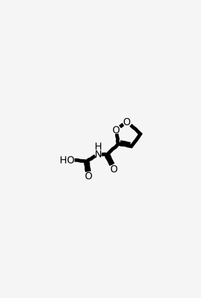 O=C(O)NC(=O)C1=CCOO1